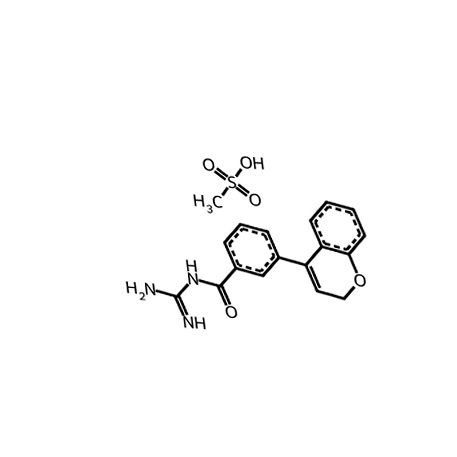 CS(=O)(=O)O.N=C(N)NC(=O)c1cccc(C2=CCOc3ccccc32)c1